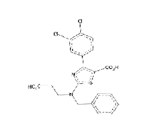 O=C(O)CCN(Cc1ccccc1)c1nc(-c2ccc(Cl)c(Cl)c2)c(C(=O)O)s1